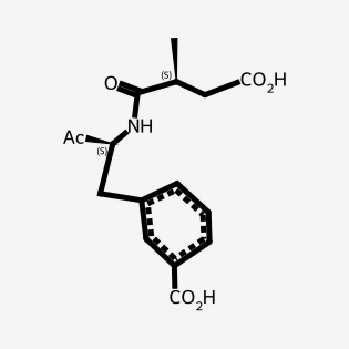 CC(=O)[C@H](Cc1cccc(C(=O)O)c1)NC(=O)[C@@H](C)CC(=O)O